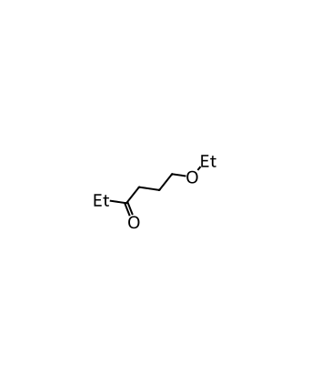 CCOCCCC(=O)CC